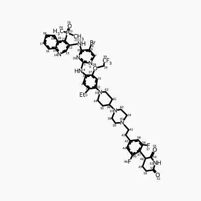 CCc1cc(Nc2ncc(Br)c(Nc3cnc4ccccc4c3P(C)(C)=O)n2)c(OCC(F)(F)F)cc1N1CCC(N2CCN(CCc3cc(F)c(C4CCC(=O)NC4=O)c(F)c3)CC2)CC1